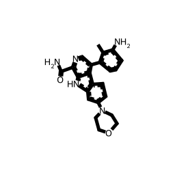 Cc1c(N)cccc1-c1cnc(C(N)=O)c2[nH]c3cc(N4CCOCC4)ccc3c12